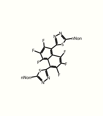 CCCCCCCCCc1nnc(-c2c(F)c(F)c(F)c3c(-c4nnc(CCCCCCCCC)s4)c(F)c(F)c(F)c23)s1